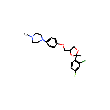 CC(=O)N1CCN(c2ccc(OCC3COC(C)(c4ccc(F)cc4Cl)O3)cc2)CC1